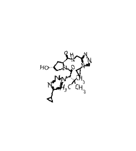 CC(C)(C)[C@@H](C(=O)N1C[C@H](O)C[C@H]1C(=O)NCc1nncn1C1CC1)n1cc(C2CC2)nn1